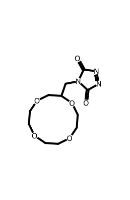 O=C1N=NC(=O)N1CC1COCCOCCOCCO1